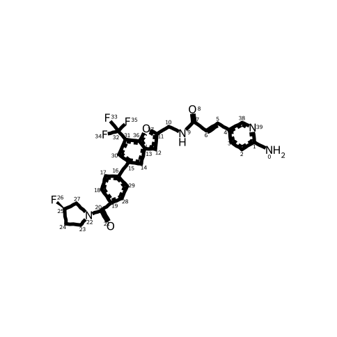 Nc1ccc(/C=C/C(=O)NCc2cc3cc(-c4ccc(C(=O)N5CC[C@@H](F)C5)cc4)cc(C(F)(F)F)c3o2)cn1